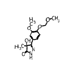 COCOc1ccc(C2=NNC(=O)C2(C)C)cc1OC